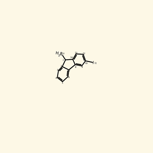 BC1c2ccccc2-c2cc(I)ccc21